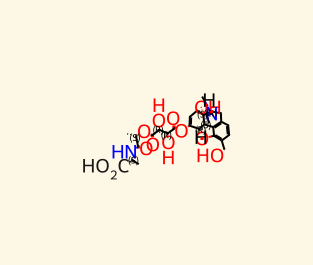 C[C@H](NC(=O)[C@H](C)OC(=O)[C@H](O)[C@@H](O)C(=O)OC1=CC[C@@]2(O)[C@H]3Cc4ccc(CO)c5c4[C@@]2(CCN3C)[C@H]1O5)C(=O)O